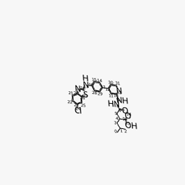 CC(C)CC(CC(=O)NNc1cc(-c2ccc(Nc3nc4ccc(Cl)cc4s3)cc2)ccn1)C(=O)O